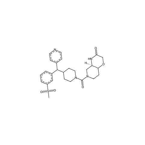 CS(=O)(=O)c1cccc(C(c2ccncc2)C2CCN(C(=O)N3CCC4OCC(=O)N[C@@H]4C3)CC2)c1